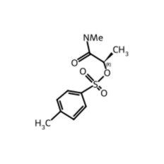 CNC(=O)[C@@H](C)OS(=O)(=O)c1ccc(C)cc1